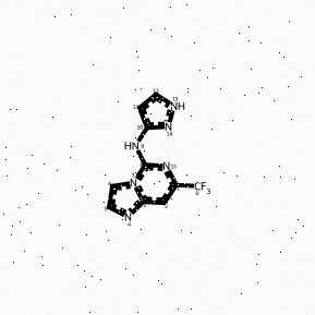 FC(F)(F)c1cc2nccn2c(Nc2cc[nH]n2)n1